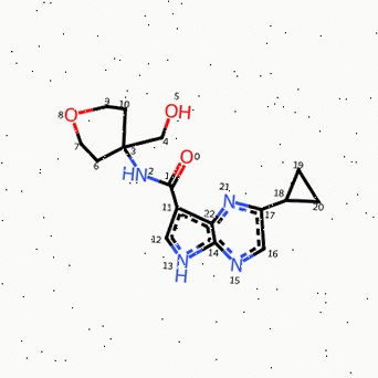 O=C(NC1(CO)CCOCC1)c1c[nH]c2ncc(C3CC3)nc12